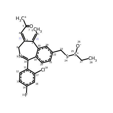 C/C=C1\C(=C/C(C)=O)CN=C(c2ccc(F)cc2Cl)c2ccc(CS[S+]([O-])CC)cc21